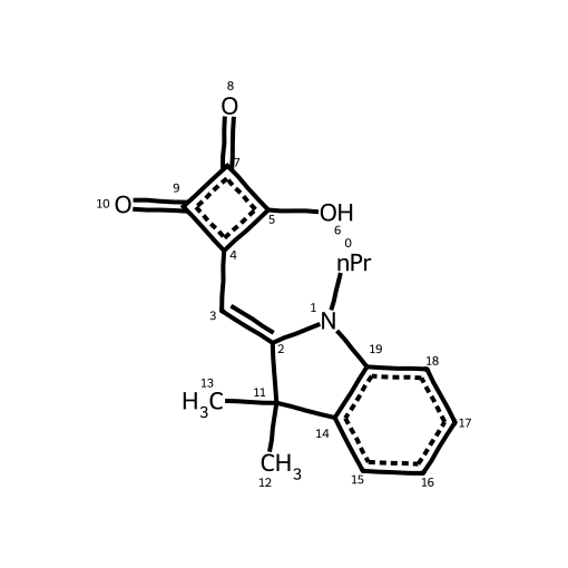 CCCN1C(=Cc2c(O)c(=O)c2=O)C(C)(C)c2ccccc21